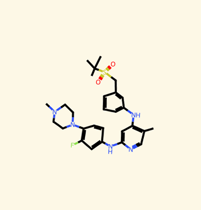 Cc1cnc(Nc2ccc(N3CCN(C)CC3)c(F)c2)cc1Nc1cccc(CS(=O)(=O)C(C)(C)C)c1